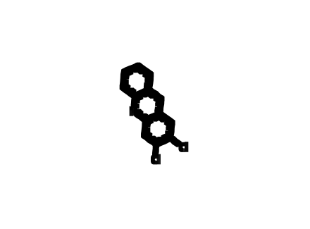 Clc1cc2cc3ccccc3nc2cc1Cl